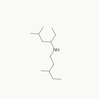 CCC(C)CCNC(CC)CC(C)C